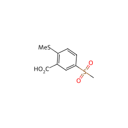 CSc1ccc(S(C)(=O)=O)cc1C(=O)O